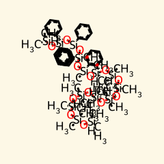 C[SiH](C)O[Si](C)(C)O[Si](C)(C)O[Si](C)(C)O[Si](C)(C)O[Si](C)(C)O[Si](C)(C)O[Si](C)(C)O[Si](C)(C)O[Si](C)(O[Si](C)(O[Si](O[Si](O[SiH](C)C)(c1ccccc1)c1ccccc1)(c1ccccc1)c1ccccc1)c1ccccc1)c1ccccc1